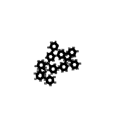 c1ccc(-c2ccc(N(c3cccc(-c4cccc(-c5c(-c6ccccc6)c6ccccc6c6ccccc56)c4)c3)c3cccc4c3sc3c(-c5ccccc5)cccc34)cc2)cc1